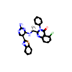 C[C@@H](Nc1nc(N)ncc1-c1nc2ccccc2s1)c1nc2cccc(Cl)c2c(=O)n1-c1ccccc1